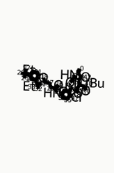 C=C1NC(=O)N(C(C(=O)Nc2cc(NC(=O)CCCOc3ccc(C(C)(C)CC)cc3C(C)(C)CC)ccc2Cl)C(=O)C(C)(C)C)C1=O